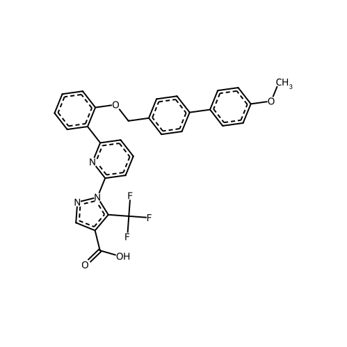 COc1ccc(-c2ccc(COc3ccccc3-c3cccc(-n4ncc(C(=O)O)c4C(F)(F)F)n3)cc2)cc1